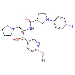 CC(C)Oc1ccc([C@@H](O)[C@@H](CN2CCCC2)NC(=O)C2CCN(c3ccc(I)cc3)C2)cn1